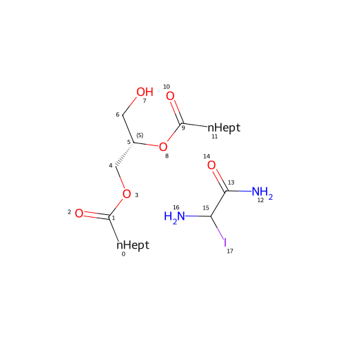 CCCCCCCC(=O)OC[C@H](CO)OC(=O)CCCCCCC.NC(=O)C(N)I